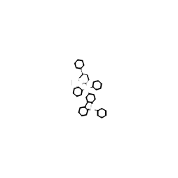 C1=CC(S(c2ccccc2)(c2ccccc2)c2ccc3c(c2)c2ccccc2n3-c2ccccc2)NC=C1c1ccccc1